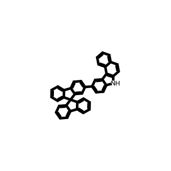 c1ccc2c(c1)-c1ccccc1C21c2ccccc2-c2ccc(-c3ccc4[nH]c5ccc6ccccc6c5c4c3)cc21